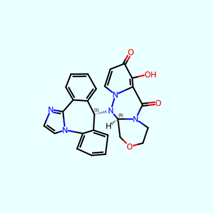 O=C1c2c(O)c(=O)ccn2N([C@H]2c3ccccc3-c3nccn3-c3ccccc32)[C@@H]2COCCN12